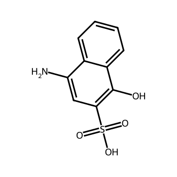 Nc1cc(S(=O)(=O)O)c(O)c2ccccc12